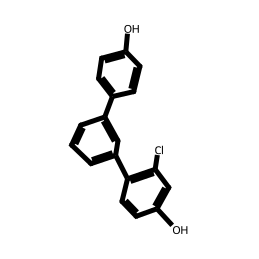 Oc1ccc(-c2cccc(-c3ccc(O)cc3Cl)c2)cc1